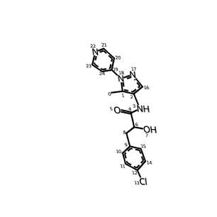 Cc1c(NC(=O)C(O)Cc2ccc(Cl)cc2)cnn1-c1ccncc1